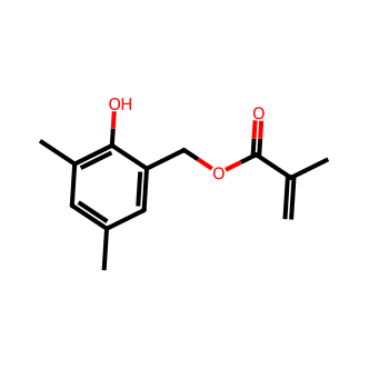 C=C(C)C(=O)OCc1cc(C)cc(C)c1O